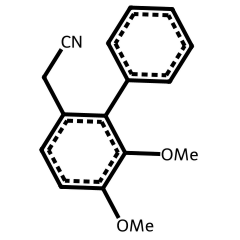 COc1ccc(CC#N)c(-c2ccccc2)c1OC